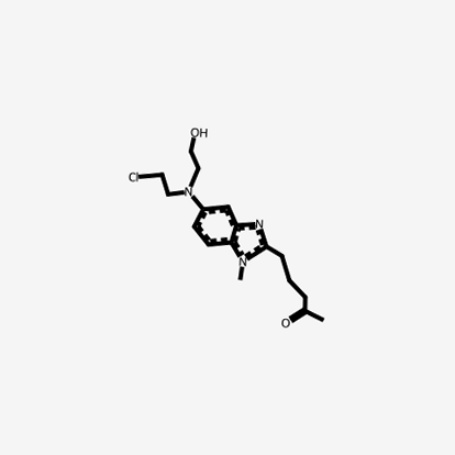 CC(=O)CCCc1nc2cc(N(CCO)CCCl)ccc2n1C